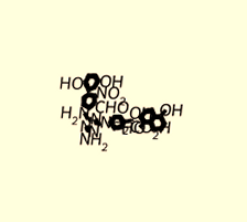 Nc1nc(N)nc(N)n1.O=C(O)C(O)c1ccccc1.O=Cc1ccccc1[N+](=O)[O-].Oc1ccc(O)cc1.Oc1cccc2c(O)cccc12